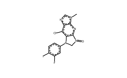 Cn1cnc2c(Cl)c3c(nc21)[N+](=O)CN3c1ccc(I)c(F)c1